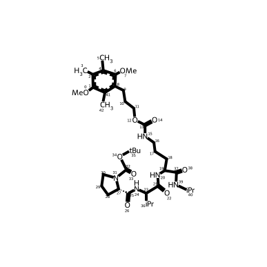 COc1c(C)c(C)c(OC)c(CCCOC(=O)NCCCC(NC(=O)C(NC(=O)[C@@H]2CCCN2C(=O)OC(C)(C)C)C(C)C)C(=O)NC(C)C)c1C